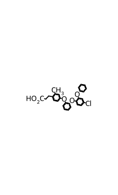 Cc1cc(Oc2ccccc2Oc2ccc(Cl)cc2Oc2ccccc2)ccc1CCC(=O)O